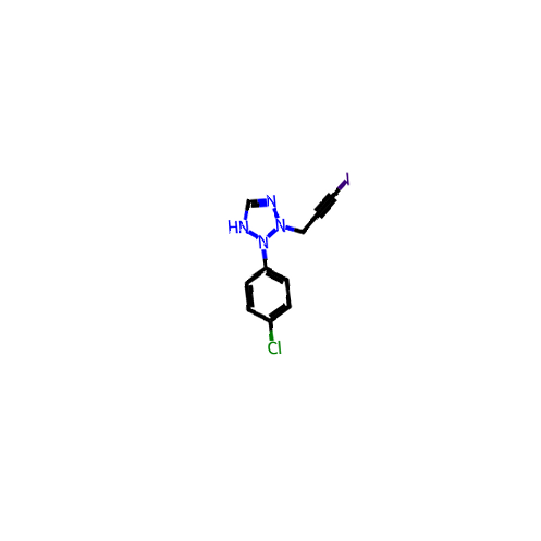 Clc1ccc(N2NC=NN2CC#CI)cc1